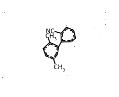 Cc1ccc(C)c(-c2ccc[c]c2C#N)c1